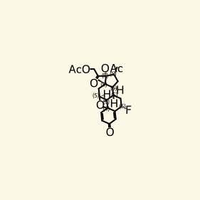 CC(=O)OCC(=O)[C@@]1(OC(C)=O)[C@@H](C)C[C@H]2[C@@H]3C[C@H](F)C4=CC(=O)C=C[C@]4(C)[C@@]34O[C@H]4C[C@@]21C